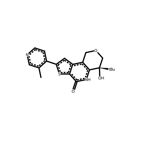 Cc1cnccc1-c1cc2c3c([nH]c(=O)c2s1)[C@](O)(C(C)(C)C)COC3